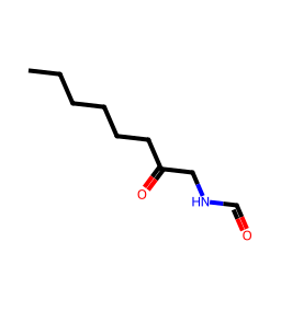 CCCCCCC(=O)CNC=O